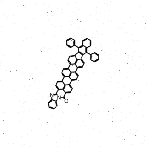 O=c1c2ccc3c4ccc5c6ccc7c8c(ccc(c9ccc(c%10ccc(c2c3%10)c2nc3ccccc3n12)c4c59)c86)-c1c-7c(-c2ccccc2)c2ccccc2c1-c1ccccc1